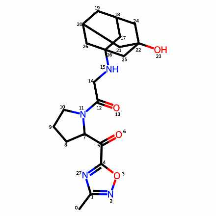 Cc1noc(C(=O)C2CCCN2C(=O)CNC23CC4CC(CC(O)(C4)C2)C3)n1